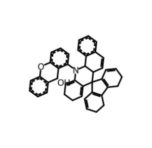 OC1c2ccccc2Oc2cccc(N3C4=CCCC=C4C4(C5=C(CCC=C5)C5=C4C=CCC5)C4C=Cc5ccccc5C43)c21